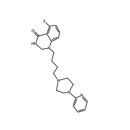 O=C1NCN(CCCCN2CCN(c3ccccn3)CC2)c2cccc(F)c21